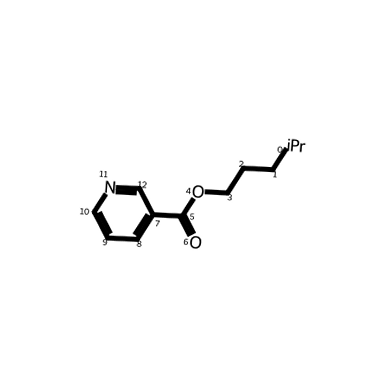 CC(C)CCCOC(=O)c1cccnc1